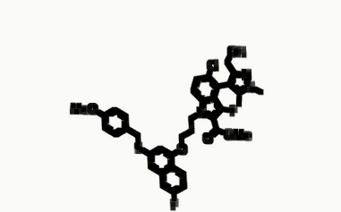 COC(=O)c1c(F)c2c(-c3c(CO)nn(C)c3C)c(Cl)ccc2n1CCCOc1cc(SCc2ccc(OC)cc2)cc2cc(F)ccc12